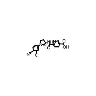 C[C@H]1[C@@H](NC(=O)c2ccc(C(=O)O)cn2)CCN1c1ccc(C#N)c(Cl)c1